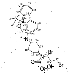 CC(C)(C)[Si](OC1CN([C@H]2CC[C@H](N(C(=O)O)C(Br)C(O)CBr)CC2)C1)(c1ccccc1)c1ccccc1